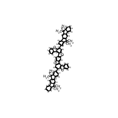 CC1(C)c2ccccc2-c2cc3c(cc21)-c1ccc(-c2cc4oc5cc6c(cc5c4c4c2oc2ccccc24)oc2cc(-c4ccc5c(c4)C(C)(C)c4cc7c(cc4-5)C(C)(C)c4ccccc4-7)c4oc5ccccc5c4c26)cc1C3(C)C